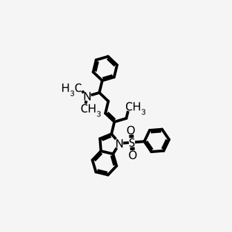 CCC(=CCC(c1ccccc1)N(C)C)c1cc2ccccc2n1S(=O)(=O)c1ccccc1